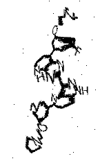 CN(C)CCOc1cc(F)cc(-c2ccnc3[nH]c(-c4n[nH]c5ccc(-c6cncc(OCCN7CCCC7)c6)nc45)nc23)c1